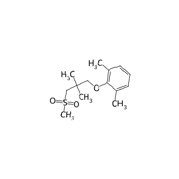 Cc1cccc(C)c1OCC(C)(C)CS(C)(=O)=O